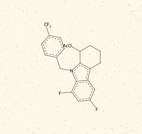 CC(=O)OC1CCCc2c1n(Cc1ccc(C(F)(F)F)cc1)c1c(F)cc(F)cc21